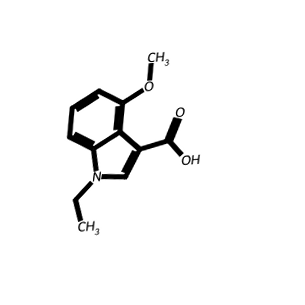 CCn1cc(C(=O)O)c2c(OC)cccc21